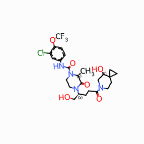 C[C@H]1C(=O)N([C@H](CO)CCC(=O)N2CCC3(CC3)[C@H](O)C2)CCN1C(=O)Nc1ccc(OC(F)(F)F)c(Cl)c1